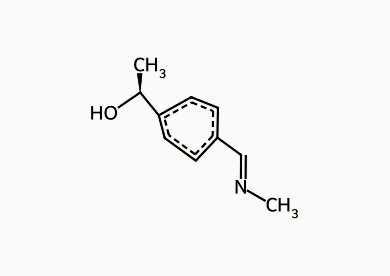 C/N=C/c1ccc([C@H](C)O)cc1